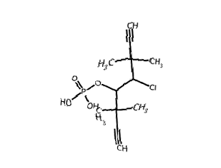 C#CC(C)(C)C(Cl)C(OP(=O)(O)O)C(C)(C)C#C